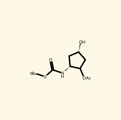 CC(=O)OC1C[C@@H](O)C[C@H]1NC(=O)OC(C)(C)C